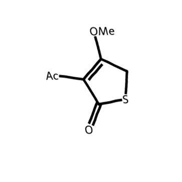 COC1=C(C(C)=O)C(=O)SC1